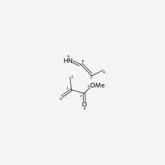 C=C(C)C(=O)OC.CC=C=N